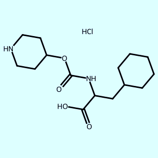 Cl.O=C(NC(CC1CCCCC1)C(=O)O)OC1CCNCC1